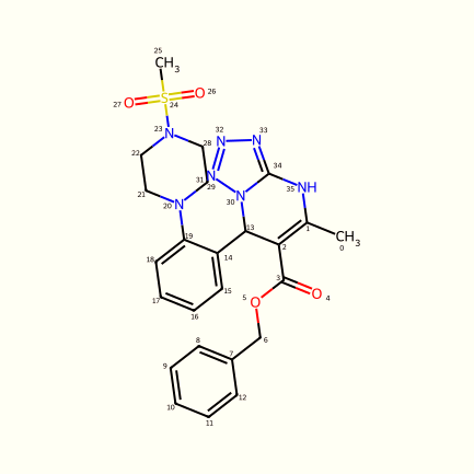 CC1=C(C(=O)OCc2ccccc2)C(c2ccccc2N2CCN(S(C)(=O)=O)CC2)n2nnnc2N1